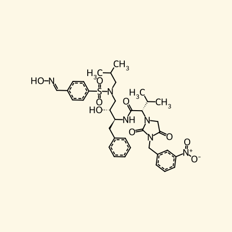 CC(C)CN(C[C@@H](O)[C@H](Cc1ccccc1)NC(=O)[C@H](C(C)C)N1CC(=O)N(Cc2cccc([N+](=O)[O-])c2)C1=O)S(=O)(=O)c1ccc(/C=N/O)cc1